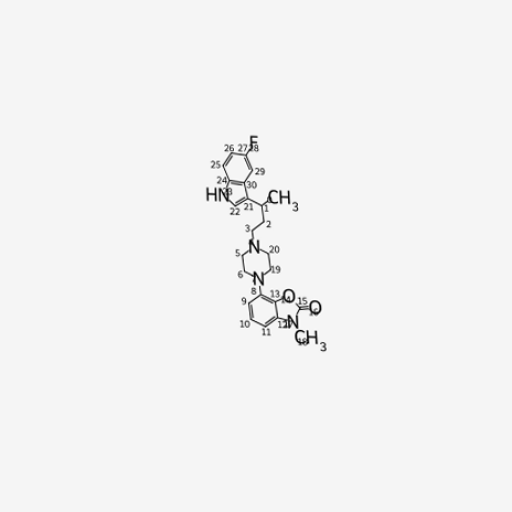 CC(CCN1CCN(c2cccc3c2oc(=O)n3C)CC1)c1c[nH]c2ccc(F)cc12